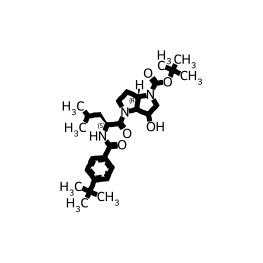 CC(C)C[C@H](NC(=O)c1ccc(C(C)(C)C)cc1)C(=O)N1CC[C@@H]2C1C(O)CN2C(=O)OC(C)(C)C